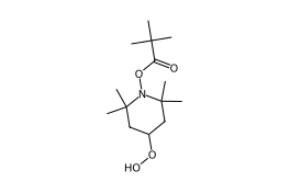 CC(C)(C)C(=O)ON1C(C)(C)CC(OO)CC1(C)C